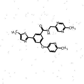 Cc1ccc(Oc2cc(C(=O)NCc3cnc(C)cn3)cc(-c3ncc(C)s3)c2)cn1